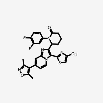 Cc1noc(C)c1-c1ccn2c(-c3nc(O)cs3)c(C3CCCC(=O)N3c3ccc(F)c(F)c3)nc2c1